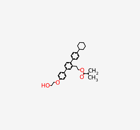 C=C(C)C(=O)OCCc1cc(-c2ccc(OCCO)cc2)ccc1-c1ccc(C2CCCCC2)cc1